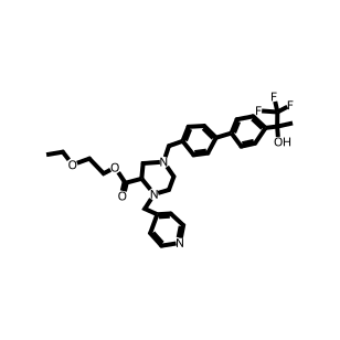 CCOCCOC(=O)C1CN(Cc2ccc(-c3ccc(C(C)(O)C(F)(F)F)cc3)cc2)CCN1Cc1ccncc1